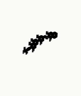 Fc1cc2cc(-c3c(F)cc(COc4c(F)cc5ccccc5c4F)cc3F)cc(F)c2c(F)c1C#CC(F)(F)F